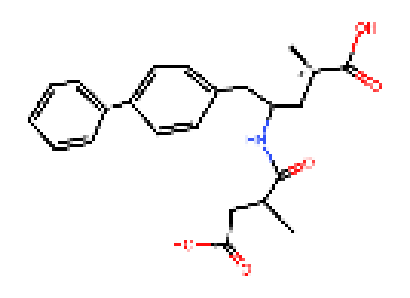 CC(CC(=O)O)C(=O)NC(Cc1ccc(-c2ccccc2)cc1)C[C@@H](C)C(=O)O